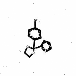 O=[N+]([O-])c1ccc(C2(c3cccs3)OCCO2)cc1